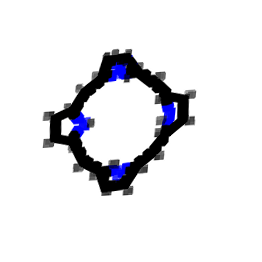 Nn1c2ccc1cc1nc(cc3ccc(cc4nc(c2)C=C4)[nH]3)C=C1